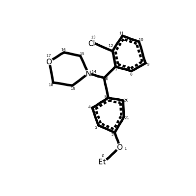 CCOc1ccc(C(c2ccccc2Cl)N2CCOCC2)cc1